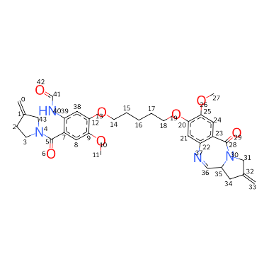 C=C1CCN(C(=O)c2cc(OC)c(OCCCCCOc3cc4c(cc3OC)C(=O)N3CC(=C)CC3C=N4)cc2NC=O)C1